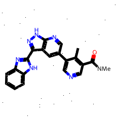 CNC(=O)c1cncc(-c2cnc3[nH]nc(-c4nc5ccccc5[nH]4)c3c2)c1C